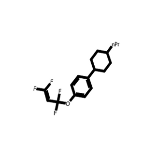 CCCC1CCC(c2ccc(OC(F)(F)C=C(F)F)cc2)CC1